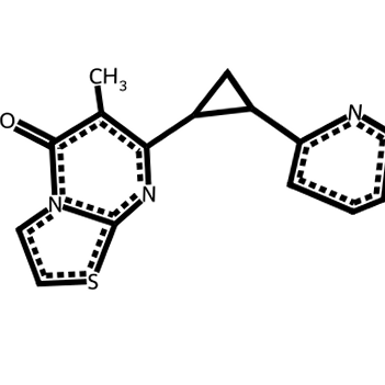 Cc1c(C2CC2c2ccccn2)nc2sccn2c1=O